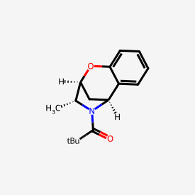 C[C@@H]1[C@@H]2C[C@@H](c3ccccc3O2)N1C(=O)C(C)(C)C